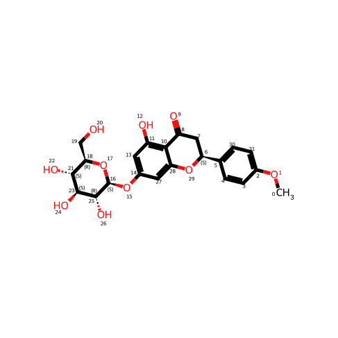 COc1ccc([C@@H]2CC(=O)c3c(O)cc(O[C@@H]4O[C@H](CO)[C@@H](O)[C@H](O)[C@H]4O)cc3O2)cc1